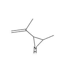 C=C(C)C1NC1C